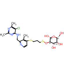 Cc1nc(C)c(Cl)c(NCc2nccc(SCCCSO[C@@H]3[C@@H](O)[C@H](O)[C@@H](CO)O[C@H]3O)c2C)n1